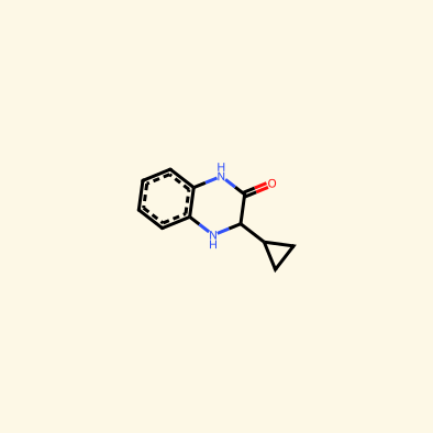 O=C1Nc2ccccc2NC1C1CC1